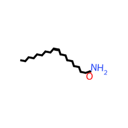 CCCCCCCC/C=C\CCCCCCCC1OC1N